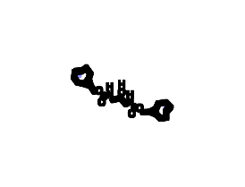 O=C(NCC(O)CNC(=O)OCC1C2CC/C=C/CCC21)OCC1C2CC/C=C/CCC21